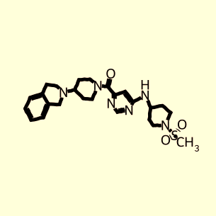 CS(=O)(=O)N1CCC(Nc2cc(C(=O)N3CCC(N4CCc5ccccc5C4)CC3)ncn2)CC1